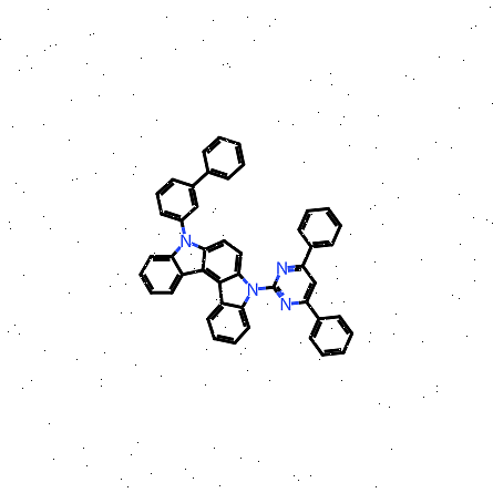 c1ccc(-c2cccc(-n3c4ccccc4c4c5c6ccccc6n(-c6nc(-c7ccccc7)cc(-c7ccccc7)n6)c5ccc43)c2)cc1